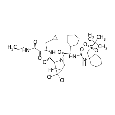 C=CCNC(=O)C(=O)C(CC1CC1)NC(=O)[C@@H]1[C@@H]2C(CN1C(=O)[C@@H](NC(=O)NC1(CS(=O)(=O)C(C)(C)C)CCCCC1)C1CCCCC1)C2(Cl)Cl